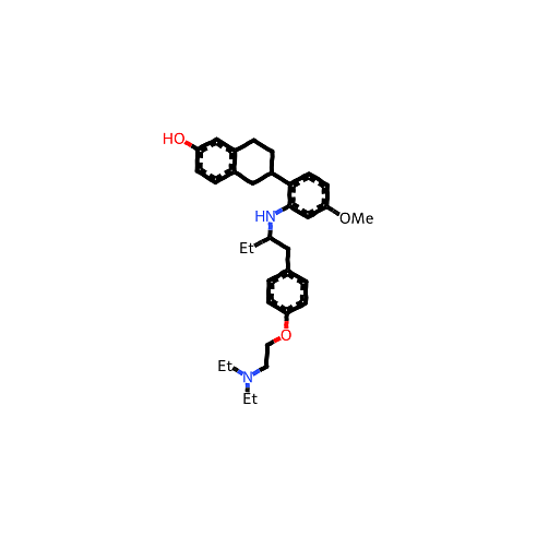 CCC(Cc1ccc(OCCN(CC)CC)cc1)Nc1cc(OC)ccc1C1CCc2cc(O)ccc2C1